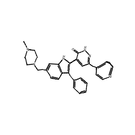 CN1CCN(Cc2ccc3c(-c4ccccc4)c(-c4cc(-c5ccncc5)n[nH]c4=O)[nH]c3c2)CC1